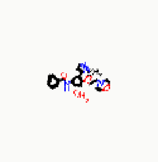 Cn1nccc1-c1cc(NC(=O)c2ccccc2)ccc1OCCN1CCOCC1.O